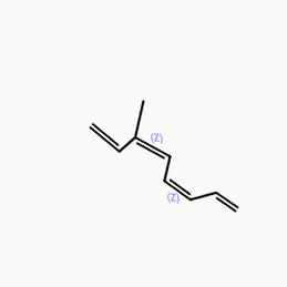 C=C/C=C\C=C(\C)C=C